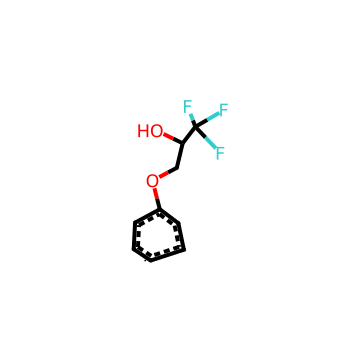 OC(COc1cc[c]cc1)C(F)(F)F